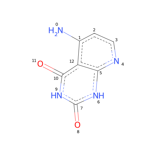 Nc1ccnc2[nH]c(=O)[nH]c(=O)c12